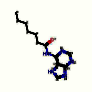 CCCCCCC(=O)Nc1ncnc2nc[nH]c12